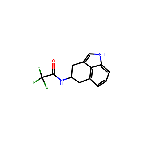 O=C(NC1Cc2cccc3[nH]cc(c23)C1)C(F)(F)F